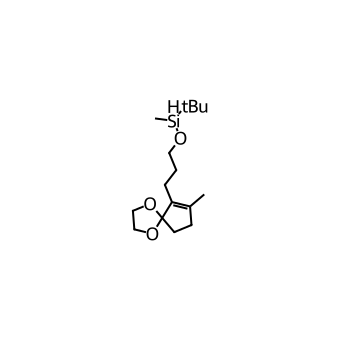 CC1=C(CCCO[SiH](C)C(C)(C)C)C2(CC1)OCCO2